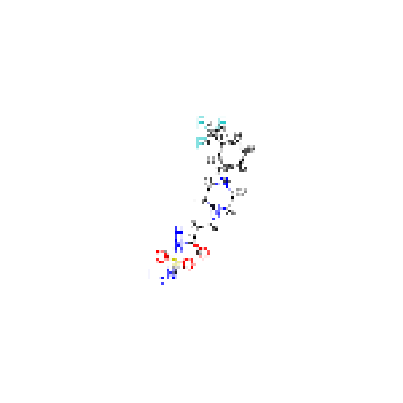 NS(=O)(=O)NC(=O)CCN1CCN(c2cccc(C(F)(F)F)c2)CC1